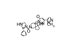 Cn1nccc1-c1cc(=O)n(C[C@]2(O)CCN(C(=O)N3CCNC[C@H]3c3ccccc3)CC23CCCC3)cn1